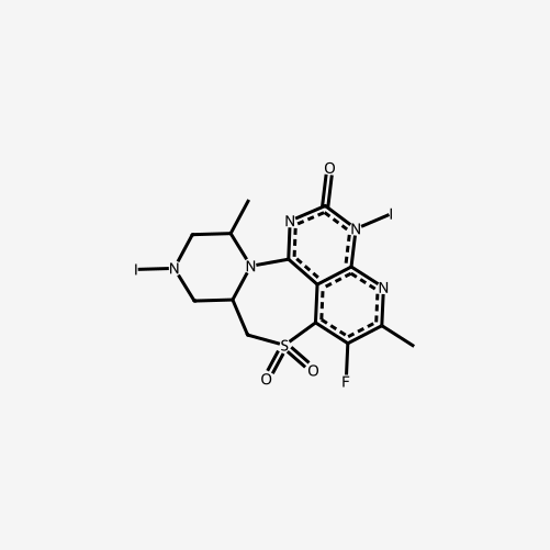 Cc1nc2c3c(nc(=O)n2I)N2C(C)CN(I)CC2CS(=O)(=O)c3c1F